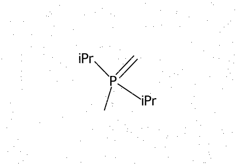 C=P(C)(C(C)C)C(C)C